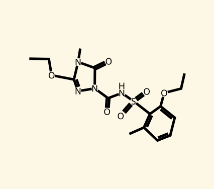 CCOc1cccc(C)c1S(=O)(=O)NC(=O)n1nc(OCC)n(C)c1=O